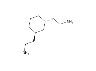 NCC[C@H]1CCC[C@H](CCN)C1